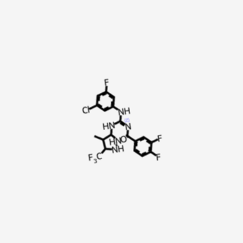 CC1C(N/C(=N\C(=O)c2ccc(F)c(F)c2)Nc2cc(F)cc(Cl)c2)NNC1C(F)(F)F